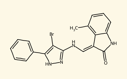 Cc1cccc2c1/C(=C\Nc1n[nH]c(-c3ccccc3)c1Br)C(=O)N2